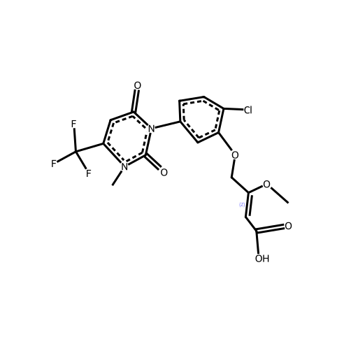 CO/C(=C\C(=O)O)COc1cc(-n2c(=O)cc(C(F)(F)F)n(C)c2=O)ccc1Cl